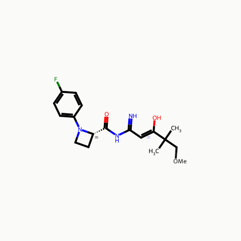 COCC(C)(C)/C(O)=C/C(=N)NC(=O)[C@@H]1CCN1c1ccc(F)cc1